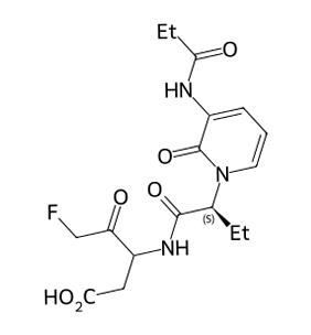 CCC(=O)Nc1cccn([C@@H](CC)C(=O)NC(CC(=O)O)C(=O)CF)c1=O